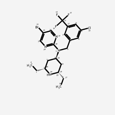 CC[C@@H]1C[C@@H](N(Cc2cc(Cl)cc(C(F)(F)F)c2)c2ncc(Br)cn2)C[C@H](CC)N1